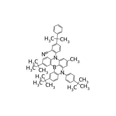 Cc1cc2c3c(c1)N(c1ccc(C(C)(C)c4ccccc4)cc1C#N)c1ccc(C(C)(C)C)cc1B3c1cc(C(C)(C)C)ccc1N2c1ccc(C(C)(C)C)cc1